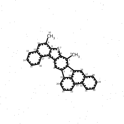 Cc1c2c(cc3c1sc1c(C)cc4ccccc4c13)-c1cccc3c1c-2cc1ccccc13